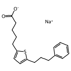 O=C([O-])CCCCc1ccc(CCCc2ccccc2)s1.[Na+]